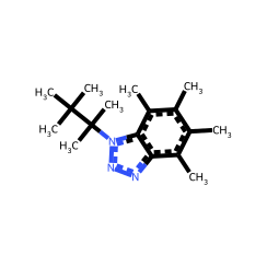 Cc1c(C)c(C)c2c(nnn2C(C)(C)C(C)(C)C)c1C